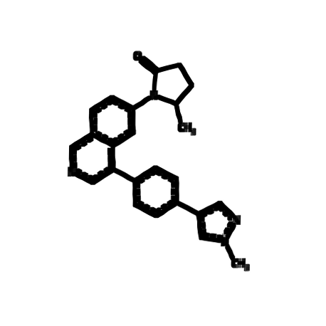 CC1CCC(=O)N1c1ccc2cncc(-c3ccc(-c4cnn(C)c4)cc3)c2c1